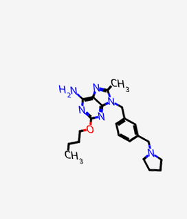 CCCCOc1nc(N)c2nc(C)n(Cc3cccc(CN4CCCC4)c3)c2n1